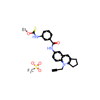 C#CC[n+]1c2c(cc3cc(NC(=O)c4cccc(NC(=S)OCC)c4)ccc31)CCC2.O=S(=O)([O-])C(F)(F)F